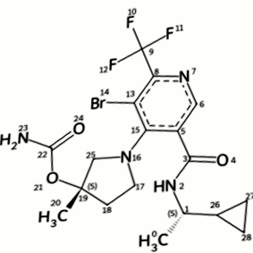 C[C@H](NC(=O)c1cnc(C(F)(F)F)c(Br)c1N1CC[C@](C)(OC(N)=O)C1)C1CC1